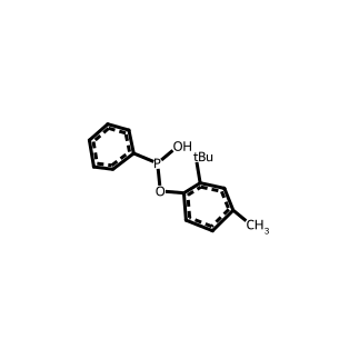 Cc1ccc(OP(O)c2ccccc2)c(C(C)(C)C)c1